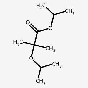 CC(C)OC(=O)C(C)(C)OC(C)C